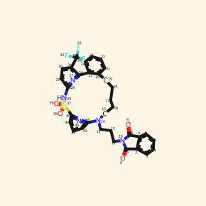 O=C1c2ccccc2C(=O)N1CCCN1CCCCCc2ccccc2-c2nc(ccc2C(F)(F)F)NS(=O)(=O)c2cccc1n2